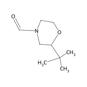 CC(C)(C)C1CN(C=O)CCO1